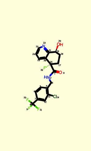 O=C(NCc1ccc(C(F)(F)F)cc1Cl)[C@]1(F)CC[C@H](O)c2ncccc21